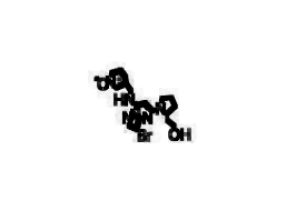 CO[n+]1cccc(CNc2cc(N3CCC[C@H]3CCO)nc3c(Br)cnn23)c1